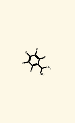 CCCCC(C)c1c(F)c(F)c(F)c(F)c1F